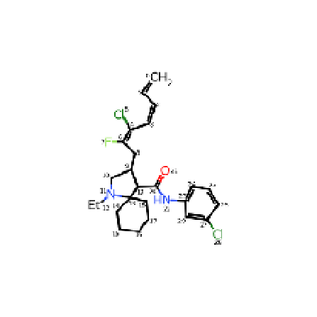 C=C/C=C\C(Cl)=C(\F)CC1CN(CC)C2(CCCCC2)C1C(=O)Nc1cccc(Cl)c1